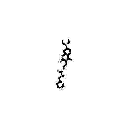 CCN(CC)c1ccc2c(C)c(CCOC(=O)NCc3ccncn3)c(=O)oc2c1